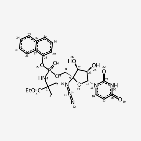 CCOC(=O)C(C)(C)NP(=O)(OC[C@@]1(N=[N+]=[N-])O[C@@H](n2ccc(=O)[nH]c2=O)[C@H](O)[C@@H]1O)Oc1cccc2ccccc12